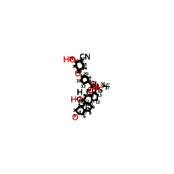 C[C@]12C=CC(=O)C=C1CCC1C3CC[C@](OC(=O)c4ccc(Oc5ccc(C#N)c(O)c5)cc4)(C(=O)SCF)[C@@]3(C)C[C@H](O)C12F